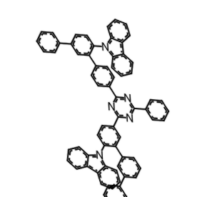 c1ccc(-c2cccc(-c3cc(-c4nc(-c5ccccc5)nc(-c5ccc(-c6cc(-c7ccccc7)ccc6-n6c7ccccc7c7ccccc76)cc5)n4)ccc3-n3c4ccccc4c4ccccc43)c2)cc1